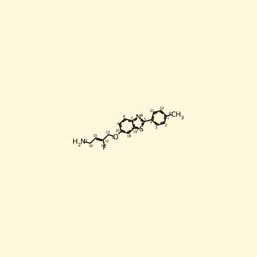 Cc1ccc(-c2nc3ccc(OC/C(F)=C/CN)cc3s2)cc1